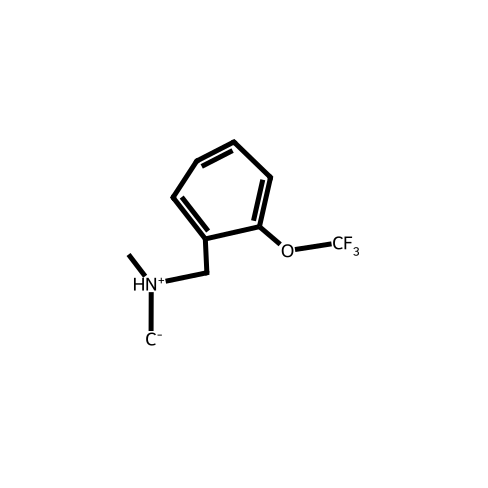 [CH2-][NH+](C)Cc1ccccc1OC(F)(F)F